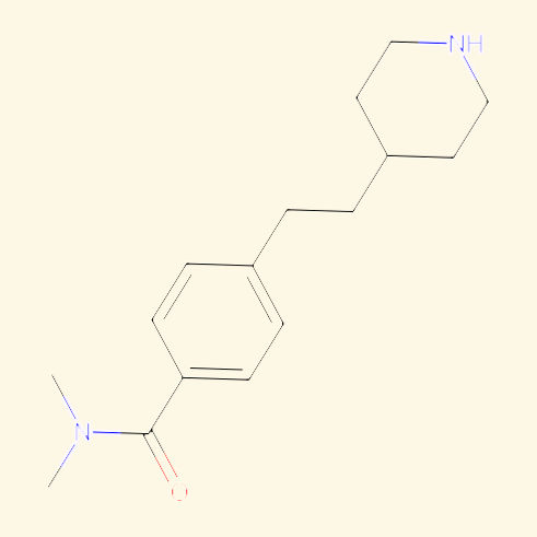 CN(C)C(=O)c1ccc(CCC2CCNCC2)cc1